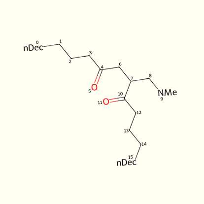 CCCCCCCCCCCCCC(=O)CC(CNC)C(=O)CCCCCCCCCCCCC